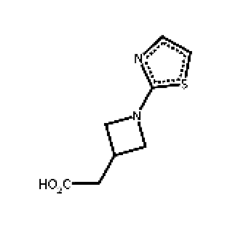 O=C(O)CC1CN(c2nccs2)C1